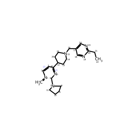 C=N/C=C\C(=N/CN1CCCC1)C1CCN(Cc2cnc(CC)nc2)CC1